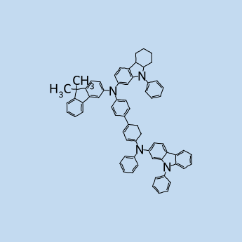 CC1(C)c2ccccc2-c2cc(N(c3ccc(C4=CC=C(N(c5ccccc5)c5ccc6c7ccccc7n(-c7ccccc7)c6c5)CC4)cc3)c3ccc4c(c3)N(c3ccccc3)C3CCCCC43)ccc21